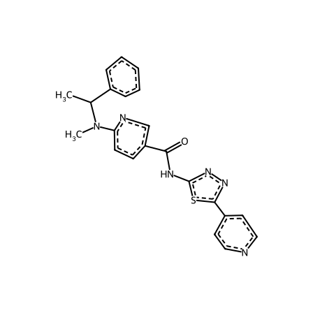 CC(c1ccccc1)N(C)c1ccc(C(=O)Nc2nnc(-c3ccncc3)s2)cn1